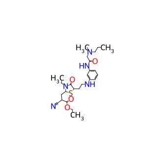 CCCN(C)CC(=O)Nc1cccc(NCCC2SC(CC(C#N)C(=O)OCC)N(CC)C2=O)c1